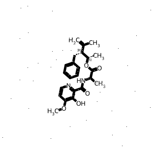 C=C(C)[C@@H](Cc1ccccc1)[C@H](C)OC(=O)C(C)NC(=O)c1nccc(OC)c1O